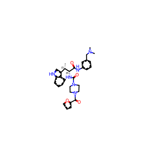 C[C@@H](c1c[nH]c2ccccc12)[C@@H](NC(=O)N1CCN(C(=O)c2ccco2)CC1)C(=O)Nc1cccc(CN(C)C)c1